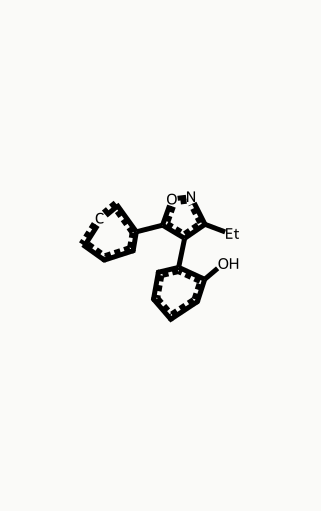 CCc1noc(-c2ccccc2)c1-c1ccccc1O